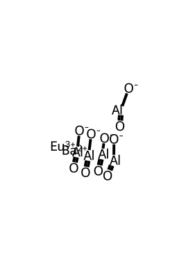 [Ba+2].[Eu+3].[O]=[Al][O-].[O]=[Al][O-].[O]=[Al][O-].[O]=[Al][O-].[O]=[Al][O-]